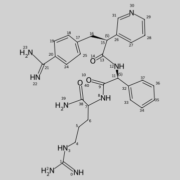 N=C(N)NCCCC(NC(=O)[C@@H](NC(=O)[C@@H](Cc1ccc(C(=N)N)cc1)c1cccnc1)c1ccccc1)C(N)=O